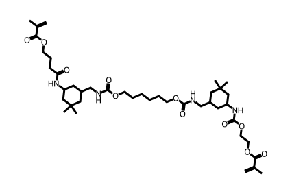 C=C(C)C(=O)OCCCC(=O)NC1CC(CNC(=O)OCCCCCCOC(=O)NCC2CC(NC(=O)OCCOC(=O)C(=C)C)CC(C)(C)C2)CC(C)(C)C1